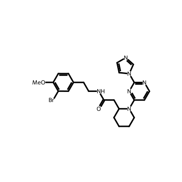 COc1ccc(CCNC(=O)CC2CCCCN2c2ccnc(-n3ccnc3)n2)cc1Br